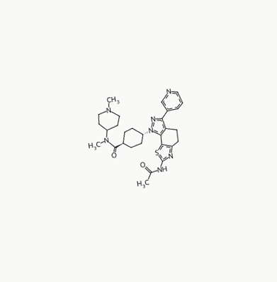 CC(=O)Nc1nc2c(s1)-c1c(c(-c3cccnc3)nn1[C@H]1CC[C@H](C(=O)N(C)C3CCN(C)CC3)CC1)CC2